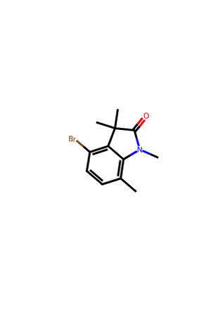 Cc1ccc(Br)c2c1N(C)C(=O)C2(C)C